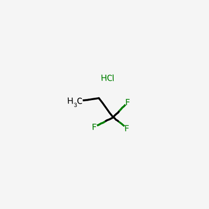 CCC(F)(F)F.Cl